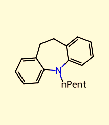 CCCCCN1c2ccccc2CCc2ccccc21